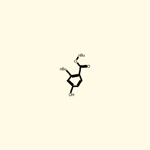 CCCCOC(=O)c1ccc(O)cc1CCCC